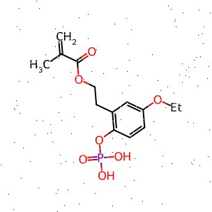 C=C(C)C(=O)OCCc1cc(OCC)ccc1OP(=O)(O)O